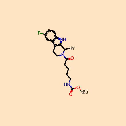 CC(C)C1c2[nH]c3ccc(F)cc3c2CCN1C(=O)CCCCNC(=O)OC(C)(C)C